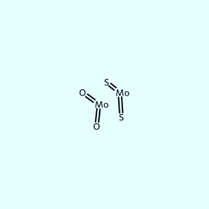 [O]=[Mo]=[O].[S]=[Mo]=[S]